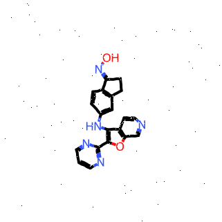 O/N=C1\CCc2cc(Nc3c(-c4ncccn4)oc4cnccc34)ccc21